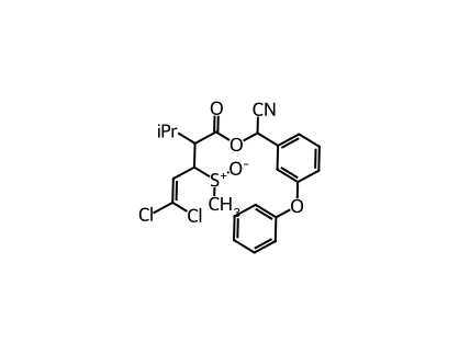 CC(C)C(C(=O)OC(C#N)c1cccc(Oc2ccccc2)c1)C(C=C(Cl)Cl)[S+](C)[O-]